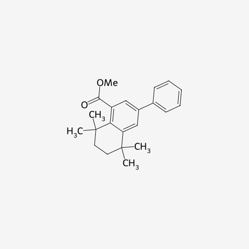 COC(=O)c1cc(-c2ccccc2)cc2c1C(C)(C)CCC2(C)C